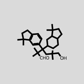 CC(C)(CO)CC(c1ccc2c(c1)C(C)(C)CC2)(C1CCC2CCC(C)(C)C2C1)C(C)(C)C=O